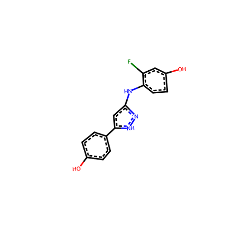 Oc1ccc(-c2cc(Nc3ccc(O)cc3F)n[nH]2)cc1